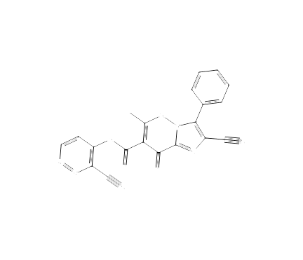 Cc1[nH]n2c(-c3ccccc3)c(C#N)nc2c(=O)c1C(=O)Nc1ccnnc1C#N